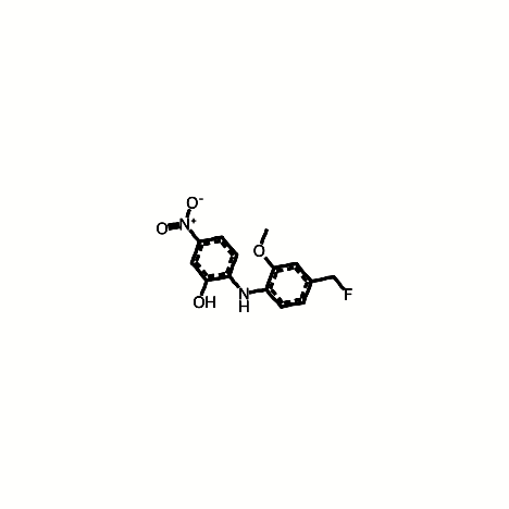 COc1cc(CF)ccc1Nc1ccc([N+](=O)[O-])cc1O